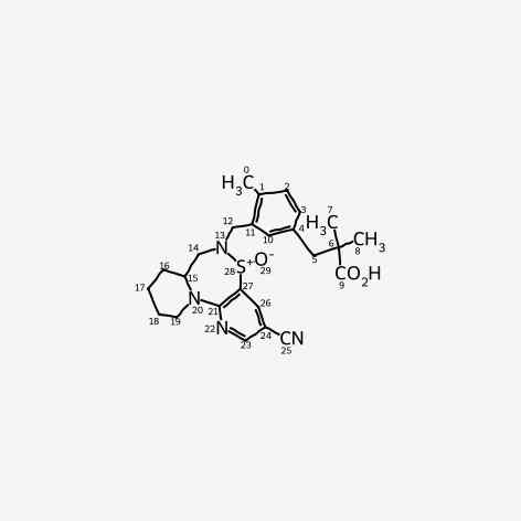 Cc1ccc(CC(C)(C)C(=O)O)cc1CN1CC2CCCCN2c2ncc(C#N)cc2[S+]1[O-]